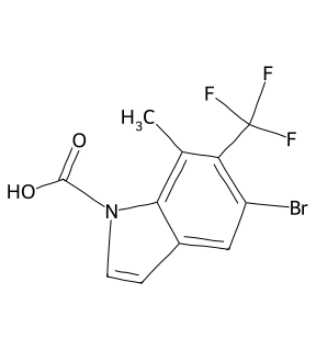 Cc1c(C(F)(F)F)c(Br)cc2ccn(C(=O)O)c12